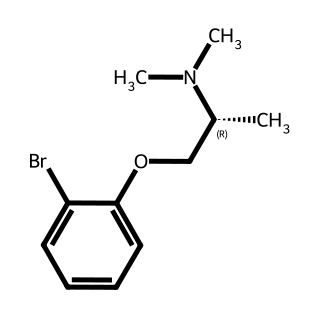 C[C@H](COc1ccccc1Br)N(C)C